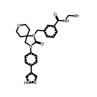 CC(C)CNC(=O)c1cccc(CN2C(=O)N(c3ccc(-c4cn[nH]c4)cc3)CC23CCOCC3)c1